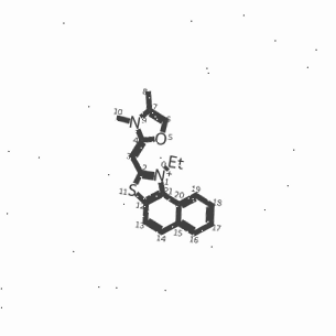 CC[n+]1c(C=C2OC=C(C)N2C)sc2ccc3ccccc3c21